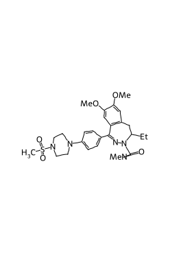 CCC1Cc2cc(OC)c(OC)cc2C(c2ccc(N3CCN(S(C)(=O)=O)CC3)cc2)=NN1C(=O)NC